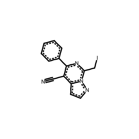 N#Cc1c(-c2ccccc2)nc(CI)n2nccc12